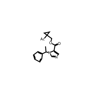 CC(=O)C1(COC(=O)c2cncn2C(C)c2ccccc2)CC1